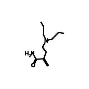 C=C(CCN(CCC)CCC)C(N)=O